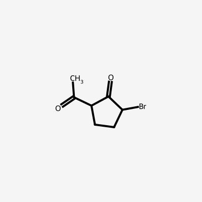 CC(=O)C1CCC(Br)C1=O